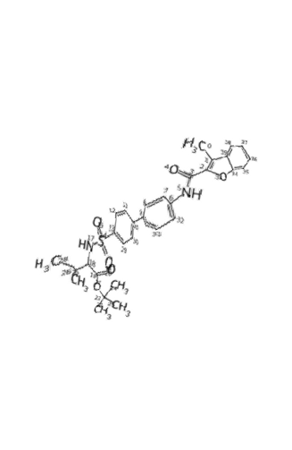 Cc1c(C(=O)Nc2ccc(-c3ccc(S(=O)(=O)NC(C(=O)OC(C)(C)C)C(C)C)cc3)cc2)oc2ccccc12